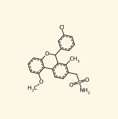 COc1cccc2c1-c1ccc(CS(N)(=O)=O)c(C)c1C(c1cccc(Cl)c1)O2